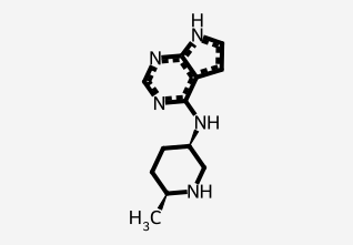 C[C@H]1CC[C@@H](Nc2ncnc3[nH]ccc23)CN1